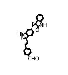 O=Cc1ccc(C=Cc2n[nH]c3cc([C@@H]4C[C@@]45C(=O)Nc4ccccc45)ccc23)cc1